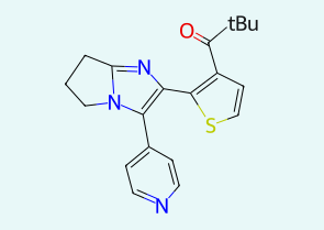 CC(C)(C)C(=O)c1ccsc1-c1nc2n(c1-c1ccncc1)CCC2